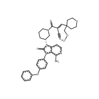 COCC1(/C=C(\C#N)C(=O)N2CCC[C@@H](n3c(=O)n(-c4ccc(Oc5ccccc5)cc4)c4c(N)nccc43)C2)CCOCC1